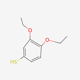 CCOc1ccc(S)cc1OCC